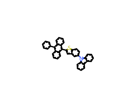 c1ccc(-c2c3ccccc3c(-c3cc4cc(-n5c6ccccc6c6ccccc65)ccc4s3)c3ccccc23)cc1